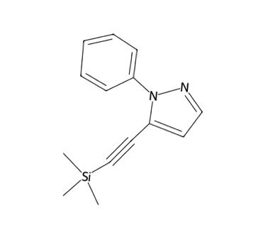 C[Si](C)(C)C#Cc1ccnn1-c1ccccc1